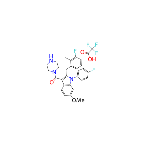 COc1ccc2c(C(=O)N3CCNCC3)c(Cc3cccc(F)c3C)n(-c3ccc(F)cc3)c2c1.O=C(O)C(F)(F)F